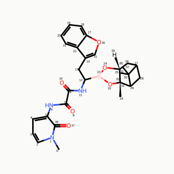 Cn1cccc(NC(=O)C(=O)NC(Cc2coc3ccccc23)B2O[C@@H]3CC4CC(C4(C)C)[C@]3(C)O2)c1=O